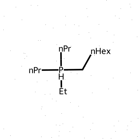 CCCCCCC[PH](CC)(CCC)CCC